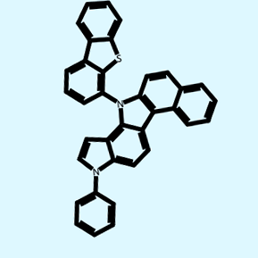 c1ccc(-n2ccc3c2ccc2c4c5ccccc5ccc4n(-c4cccc5c4sc4ccccc45)c23)cc1